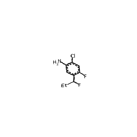 [CH2]CC(F)c1cc(N)c(Cl)cc1F